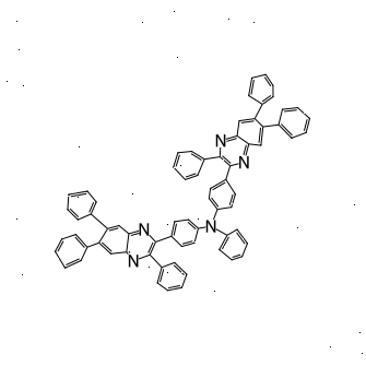 c1ccc(-c2cc3nc(-c4ccccc4)c(-c4ccc(N(c5ccccc5)c5ccc(-c6nc7cc(-c8ccccc8)c(-c8ccccc8)cc7nc6-c6ccccc6)cc5)cc4)nc3cc2-c2ccccc2)cc1